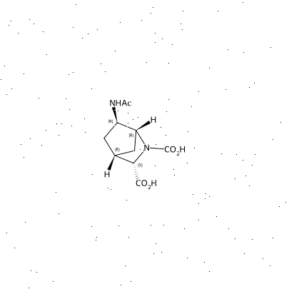 CC(=O)N[C@@H]1C[C@@H]2C[C@H]1N(C(=O)O)[C@@H]2C(=O)O